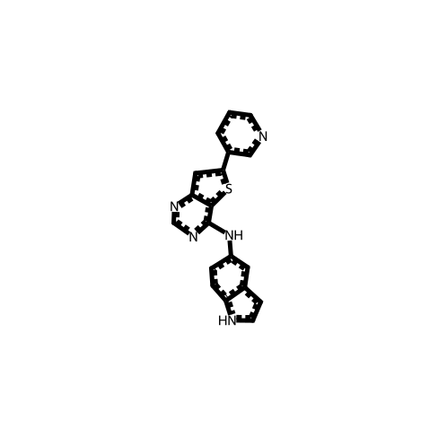 c1cncc(-c2cc3ncnc(Nc4ccc5[nH]ccc5c4)c3s2)c1